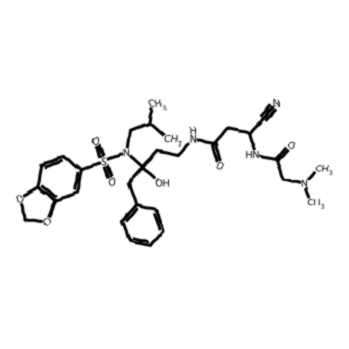 CC(C)CN(C(O)(CCNC(=O)CC(C#N)NC(=O)CN(C)C)Cc1ccccc1)S(=O)(=O)c1ccc2c(c1)OCO2